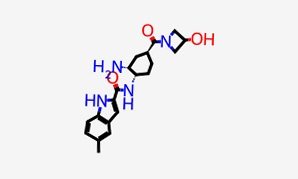 Cc1ccc2[nH]c(C(=O)N[C@H]3CC[C@H](C(=O)N4CC(O)C4)C[C@H]3N)cc2c1